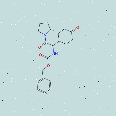 O=C1CCC(C(NC(=O)OCc2ccccc2)C(=O)N2CCCC2)CC1